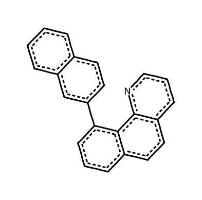 c1ccc2cc(-c3cccc4ccc5cccnc5c34)ccc2c1